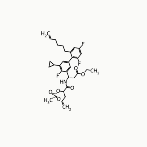 C=CCCCCc1cc(F)cc(F)c1-c1cc(C2CC2)c(F)c([C@H](CC(=O)OCC)NC(=O)[C@@H](CC=C)OS(C)(=O)=O)c1